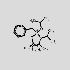 CC(C)O[PH](Cc1ccccc1)(OC(C)C)N(C(C)C)C(C)C